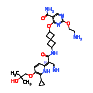 CC(C)(O)COC1=C(C2CC2)N/C(=C(\C=N)C(=O)NC2CC3(C2)CC(Oc2nc(OCCN)ncc2C(N)=O)C3)C=C1